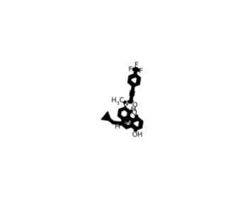 CN(C(=O)C#Cc1ccc(C(F)(F)F)cc1)[C@@H]1CC[C@H]2[C@H]3Cc4c(O)ccc5c4[C@@]2(CCN3CC2CC2)[C@H]1O5